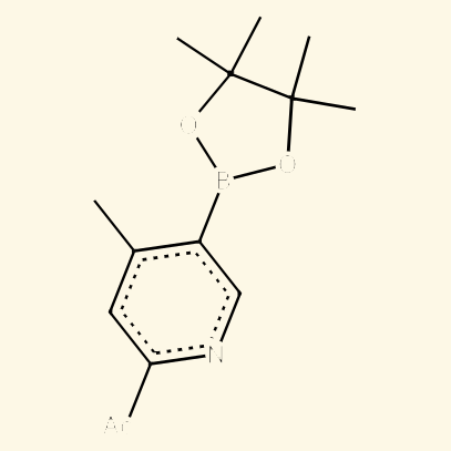 CC(=O)c1cc(C)c(B2OC(C)(C)C(C)(C)O2)cn1